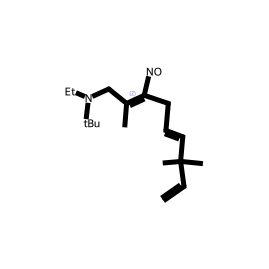 C=CC(C)(C)C=CC/C(N=O)=C(\C)CN(CC)C(C)(C)C